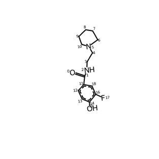 O=C(NCCN1CCCCC1)c1ccc(O)c(F)c1